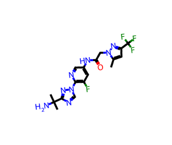 Cc1cc(C(F)(F)F)nn1CC(=O)Nc1cnc(-n2cnc(C(C)(C)N)n2)c(F)c1